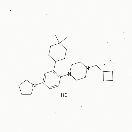 CC1(C)CCC(c2cc(N3CCCC3)ccc2N2CCN(CC3CCC3)CC2)CC1.Cl